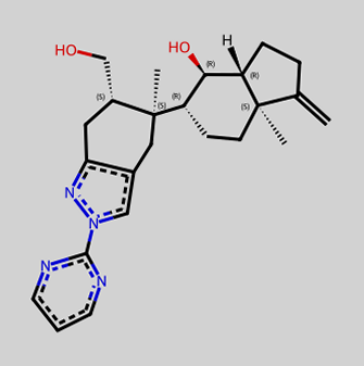 C=C1CC[C@H]2[C@H](O)[C@@H]([C@@]3(C)Cc4cn(-c5ncccn5)nc4C[C@@H]3CO)CC[C@]12C